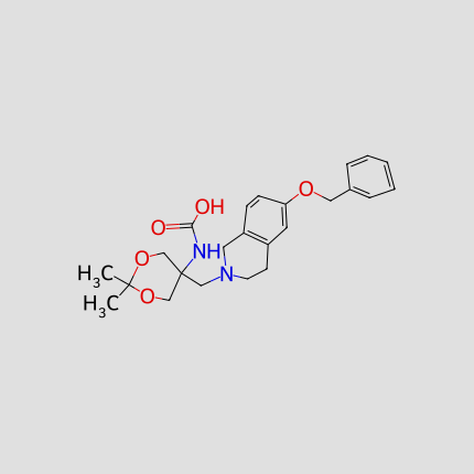 CC1(C)OCC(CN2CCc3cc(OCc4ccccc4)ccc3C2)(NC(=O)O)CO1